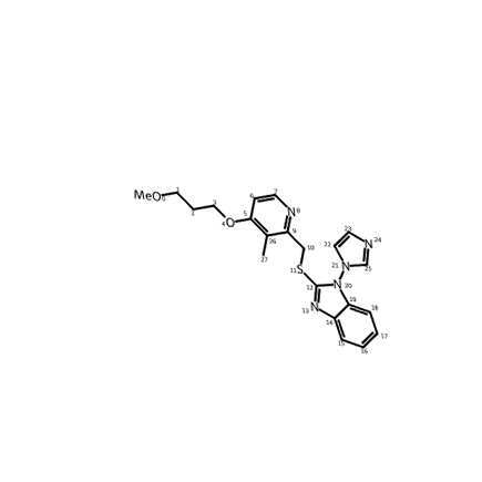 COCCCOc1ccnc(CSc2nc3ccccc3n2-n2ccnc2)c1C